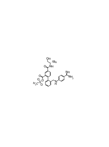 CC(C)(C)[C@@H](CO)NC(=O)c1ccc(-c2ccccc2CNc2ccc(C(=N)N)cc2)c(C(=O)OS(C)(=O)=O)c1